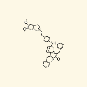 COc1cc2c(cc1OC)CN(CCc1ccc(NC(=O)Cn3c(=O)/c(=C/c4ccccc4)n(C)c(=O)/c3=C/c3ccccc3)cc1)CC2